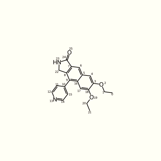 CCOc1cc2cc3c(c(-c4ccncc4)c2cc1OCC)CNC3=O